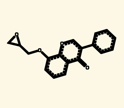 O=c1c(-c2ccccc2)coc2c(OCC3CO3)cccc12